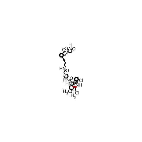 CC1(C)CCC2(CC1)N[C@@H](C(=O)NC1CCN(CC(=O)NCCCC#Cc3cccc4c3CN(C3CCC(=O)NC3=O)C4=O)CC1)[C@H](c1cccc(Cl)c1F)[C@]21C(=O)Nc2cc(Cl)ccc21